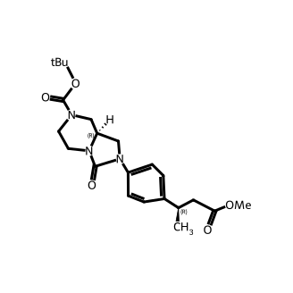 COC(=O)C[C@@H](C)c1ccc(N2C[C@@H]3CN(C(=O)OC(C)(C)C)CCN3C2=O)cc1